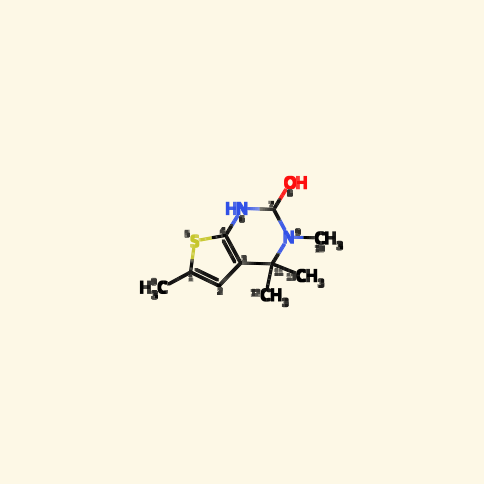 Cc1cc2c(s1)NC(O)N(C)C2(C)C